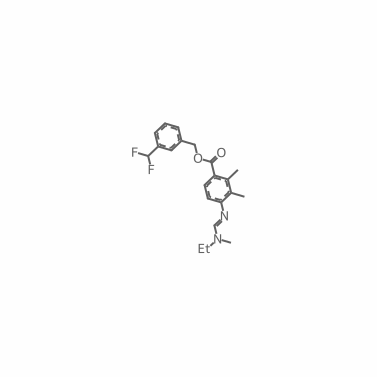 CCN(C)/C=N/c1ccc(C(=O)OCc2cccc(C(F)F)c2)c(C)c1C